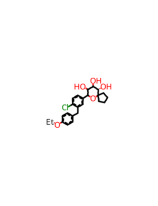 CCOc1ccc(Cc2cc(C3OC4(CCCC4)[C@@H](O)C(O)C3O)ccc2Cl)cc1